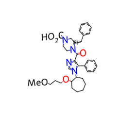 COCCCOC1CCCCCC1n1cnc(C(=O)N2CCN(C(=O)O)C[C@H]2Cc2ccccc2)c1-c1ccccc1